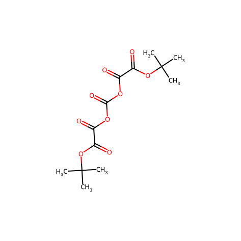 CC(C)(C)OC(=O)C(=O)OC(=O)OC(=O)C(=O)OC(C)(C)C